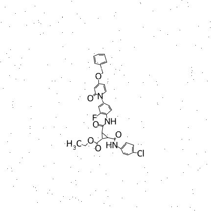 CCOC(=O)C1C(C(=O)Nc2ccc(Cl)cc2)C1C(=O)Nc1ccc(-n2ccc(OCc3ccccc3)cc2=O)cc1F